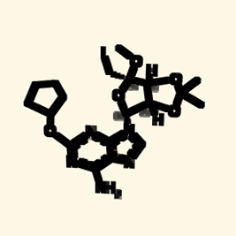 CO[C@]1(CI)O[C@@H](n2cnc3c(N)nc(OC4CCCC4)nc32)[C@H]2OC(C)(C)O[C@@H]21